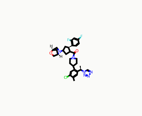 Cc1cc([C@@H](C)n2cnnn2)c(C2CCN(C(=O)C3CC(N4C[C@H]5C[C@@H]4CO5)C[C@H]3c3ccc(F)cc3F)CC2)cc1Cl